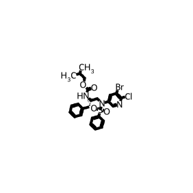 CC(C)COC(=O)N[C@@H](Cc1ccccc1)CN(c1cnc(Cl)c(Br)c1)S(=O)(=O)c1ccccc1